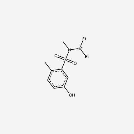 CC[S+](CC)N(C)S(=O)(=O)c1cc(O)ccc1C